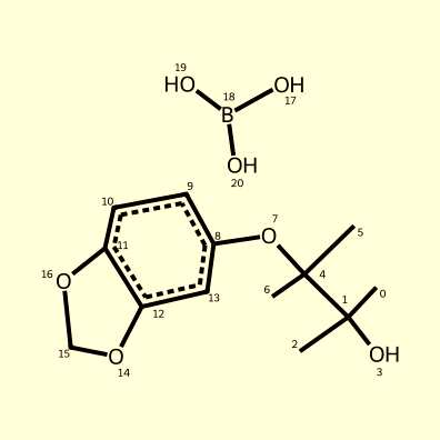 CC(C)(O)C(C)(C)Oc1ccc2c(c1)OCO2.OB(O)O